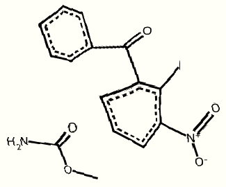 COC(N)=O.O=C(c1ccccc1)c1cccc([N+](=O)[O-])c1I